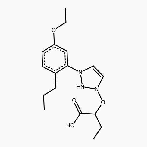 CCCc1ccc(OCC)cc1N1C=CN(OC(CC)C(=O)O)N1